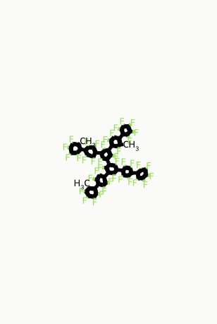 Cc1c(F)c(-c2c(F)c(-c3c(F)c(F)c(-c4c(C)c(F)c(F)c(F)c4F)c(F)c3F)c(F)c(-c3c(F)c(-c4c(F)c(F)c(-c5c(C)c(F)c(F)c(F)c5F)c(F)c4F)c(F)c(-c4c(F)c(F)c(-c5c(F)c(F)c(F)c(F)c5F)c(F)c4F)c3F)c2F)c(F)c(F)c1-c1c(F)c(F)c(F)c(F)c1F